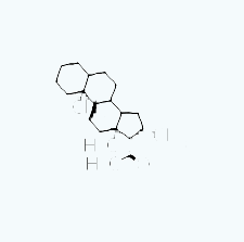 CC(=O)[C@H]1[C@@H](C)CC2C3CCC4CCCC[C@]4(C)C3=CC[C@@]21C